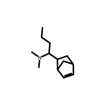 CCCC(C1CC2C=CC1C2)N(C)C